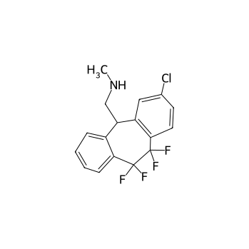 CNCC1c2ccccc2C(F)(F)C(F)(F)c2ccc(Cl)cc21